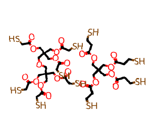 O=C(CCS)OCC(COC(=O)CCS)(COC(=O)CCS)COC(=O)CCS.O=C(CS)OCC(COCC(COC(=O)CS)(COC(=O)CS)COC(=O)CS)(COC(=O)CS)COC(=O)CS